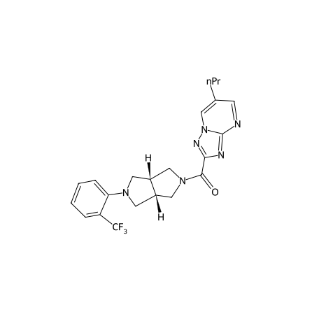 CCCc1cnc2nc(C(=O)N3C[C@@H]4CN(c5ccccc5C(F)(F)F)C[C@@H]4C3)nn2c1